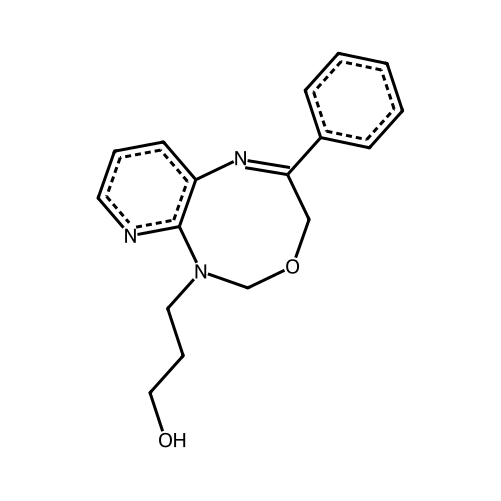 OCCCN1COC/C(c2ccccc2)=N\c2cccnc21